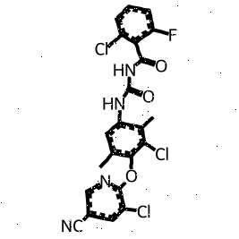 Cc1cc(NC(=O)NC(=O)c2c(F)cccc2Cl)c(C)c(Cl)c1Oc1ncc(C#N)cc1Cl